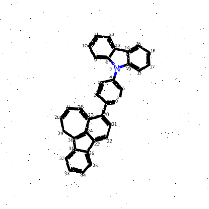 C=C(/C=C\C(=C/C)n1c2ccccc2c2ccccc21)c1ccc2c3c1=CC=CCC=3c1ccccc1-2